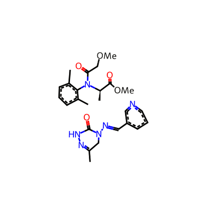 CC1=NNC(=O)N(/N=C/c2cccnc2)C1.COCC(=O)N(c1c(C)cccc1C)[C@H](C)C(=O)OC